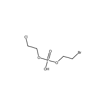 O=P(O)(OCCCl)OCCBr